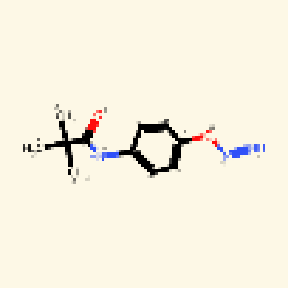 CC(C)(C)C(=O)Nc1ccc(ON=N)cc1